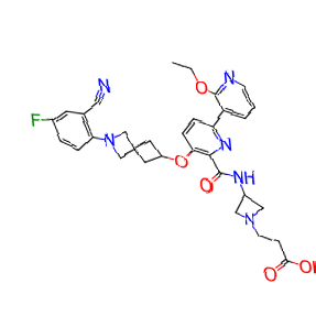 CCOc1ncccc1-c1ccc(OC2CC3(C2)CN(c2ccc(F)cc2C#N)C3)c(C(=O)NC2CN(CCC(=O)O)C2)n1